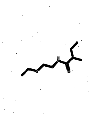 CCSCCNC(=O)C(C)CC